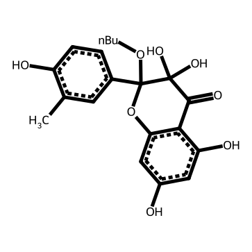 CCCCOC1(c2ccc(O)c(C)c2)Oc2cc(O)cc(O)c2C(=O)C1(O)O